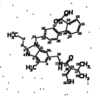 CCCc1nc2c(C)cc(CNC(=O)[C@H](CS)C(C)C)cc2n1Cc1ccc(-c2ccccc2C(=O)O)cc1